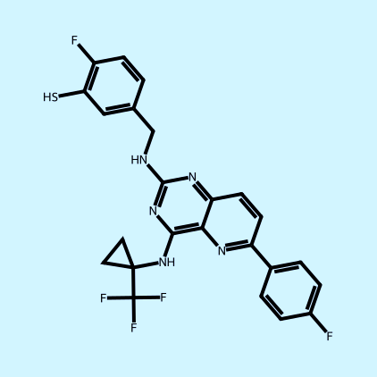 Fc1ccc(-c2ccc3nc(NCc4ccc(F)c(S)c4)nc(NC4(C(F)(F)F)CC4)c3n2)cc1